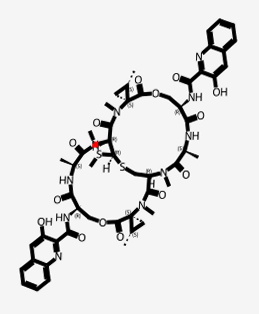 CS[C@@H]1SC[C@H]2C(=O)N(C)[C@]3(C[C@@H]3C)C(=O)OC[C@@H](NC(=O)c3nc4ccccc4cc3O)C(=O)N[C@@H](C)C(=O)N(C)[C@@H]1C(=O)N(C)[C@]1(C[C@@H]1C)C(=O)OC[C@@H](NC(=O)c1nc3ccccc3cc1O)C(=O)N[C@@H](C)C(=O)N2C